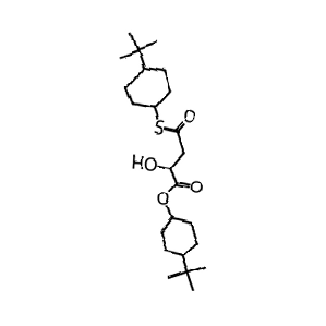 CC(C)(C)C1CCC(OC(=O)C(O)CC(=O)SC2CCC(C(C)(C)C)CC2)CC1